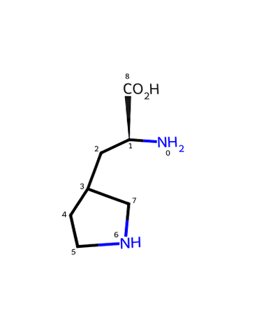 N[C@@H](CC1CCNC1)C(=O)O